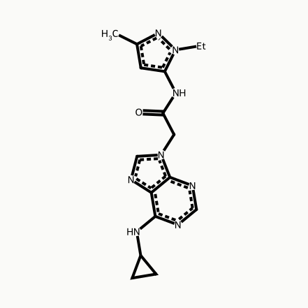 CCn1nc(C)cc1NC(=O)Cn1cnc2c(NC3CC3)ncnc21